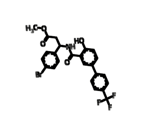 COC(=O)CC(NC(=O)c1cc(-c2ccc(C(F)(F)F)cc2)ccc1O)c1ccc(Br)cc1